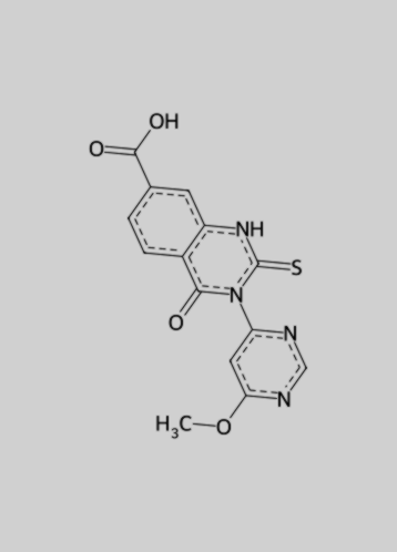 COc1cc(-n2c(=S)[nH]c3cc(C(=O)O)ccc3c2=O)ncn1